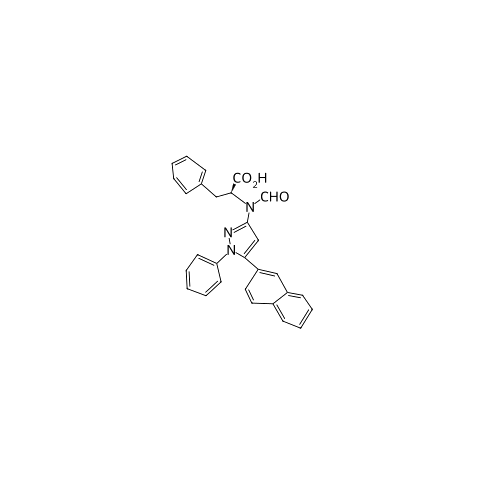 O=CN(c1cc(-c2ccc3ccccc3c2)n(-c2ccccc2)n1)[C@@H](Cc1ccccc1)C(=O)O